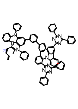 C=C/C=C\C1=C(C)N(c2ccccc2)c2cc(-c3cccc(-c4cccc(-c5cccc(-c6nc(-c7ccccc7)nc(-c7ccccc7)n6)c5-n5c6ccccc6c6cc(-c7nc(-c8ccccc8)nc(-c8ccccc8)n7)ccc65)c4)c3)cc3c2B1c1ccccc1N3c1ccccc1